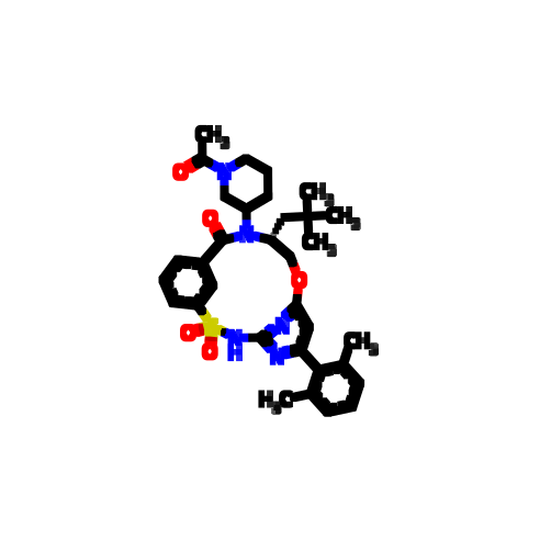 CC(=O)N1CCCC(N2C(=O)c3cccc(c3)S(=O)(=O)Nc3nc(cc(-c4c(C)cccc4C)n3)OC[C@H]2CC(C)(C)C)C1